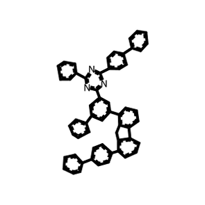 c1ccc(-c2ccc(-c3nc(-c4ccccc4)nc(-c4cc(-c5ccccc5)cc(-c5cccc6c5Cc5c(-c7ccc(-c8ccccc8)cc7)cccc5-6)c4)n3)cc2)cc1